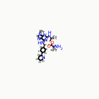 CC[C@H](COC(=O)C(N)C(C)C)Nc1nc(NCc2ccc(-c3ccccn3)cc2)c2ncn(C(C)C)c2n1